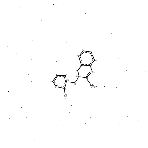 NC1=Nc2ccccc2CN1Cc1ccccc1Cl